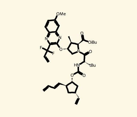 C=C/C=C/[C@@H]1C[C@@H](C=C)C[C@H]1OC(=O)N[C@H](C(=O)N1C[C@H](Oc2nc3cc(OC)ccc3nc2C(F)(F)C=C)[C@@H](C)[C@H]1C(=O)OCC(C)C)C(C)(C)C